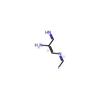 N=C/C(N)=C\N=C/I